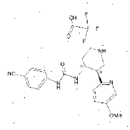 COc1ccc([C@@H]2CNCC[C@H]2NC(=O)Nc2ccc(C#N)cc2)nc1.O=C(O)C(F)(F)F